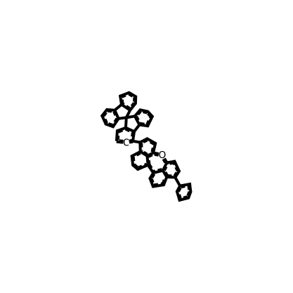 c1ccc(-c2ccc3oc4ccc(-c5cccc6c5-c5ccccc5C65c6ccccc6-c6ccccc65)c5cccc(c6cccc2c36)c45)cc1